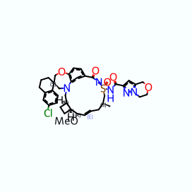 CO[C@H]1/C=C/C[C@H](C)CS(=O)(NC(=O)c2cc3n(n2)CCOC3)=NC(=O)c2ccc3c(c2)N(C[C@@H]2CC[C@H]21)C[C@@]1(CCCc2cc(Cl)ccc21)CO3